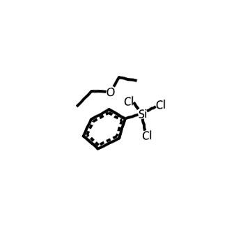 CCOCC.Cl[Si](Cl)(Cl)c1ccccc1